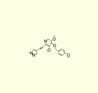 COc1ccc(COc2c(OC)cnc(C#Cc3cnn(C)c3)c2OC)cc1